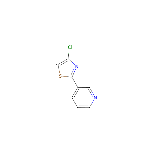 Clc1[c]sc(-c2cccnc2)n1